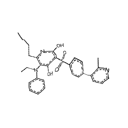 CCCCc1nc(O)c(S(=O)(=O)c2ccc(-c3cccnc3C)cc2)c(O)c1N(CC)c1ccccc1